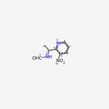 CC(NC=O)c1ncccc1[N+](=O)[O-]